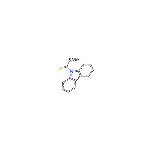 CSC(=S)n1c2ccccc2c2ccccc21